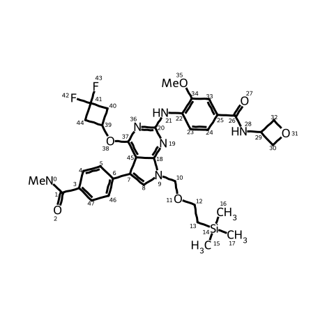 CNC(=O)c1ccc(-c2cn(COCC[Si](C)(C)C)c3nc(Nc4ccc(C(=O)NC5COC5)cc4OC)nc(OC4CC(F)(F)C4)c23)cc1